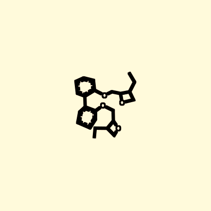 CCC1COC1COc1ccccc1-c1ccccc1OCC1OCC1CC